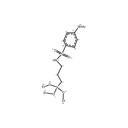 CCO[Si](CCCNS(=O)(=O)c1ccc(NC(C)=O)cc1)(OCC)OCC